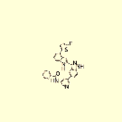 O=C(Nc1cncc(-c2ccc3[nH]nc(-c4cc5c(-c6ccc(F)s6)cccc5[nH]4)c3c2)c1)c1ccccc1